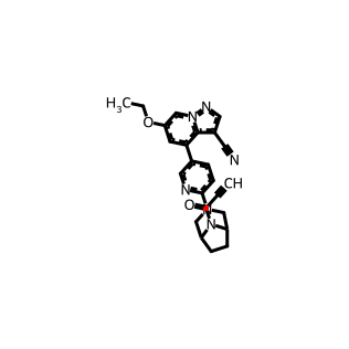 C#CC(=O)N1C2CCC1CN(c1ccc(-c3cc(OCC)cn4ncc(C#N)c34)cn1)C2